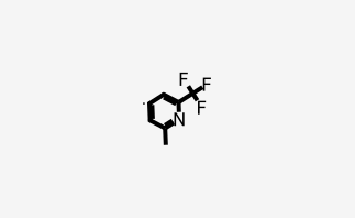 Cc1c[c]cc(C(F)(F)F)n1